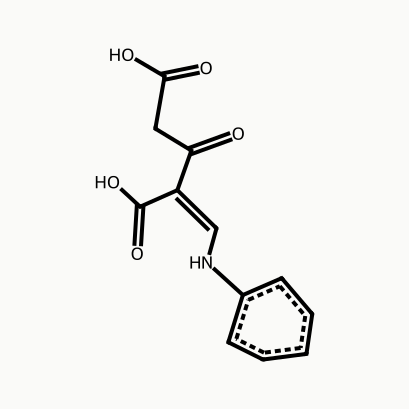 O=C(O)CC(=O)/C(=C/Nc1ccccc1)C(=O)O